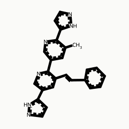 Cc1cc(-c2ncc(-c3ccn[nH]3)cc2C=Cc2ccccc2)cnc1-c1ccn[nH]1